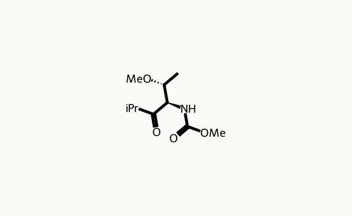 COC(=O)N[C@@H](C(=O)C(C)C)[C@@H](C)OC